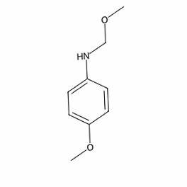 COCNc1ccc(OC)cc1